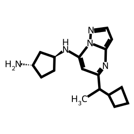 CC(c1cc(N[C@H]2CC[C@H](N)C2)n2nccc2n1)C1CCC1